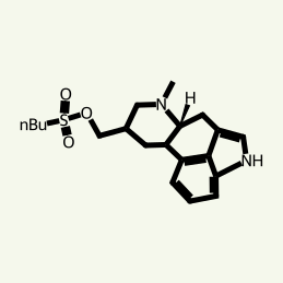 CCCCS(=O)(=O)OCC1CC2c3cccc4[nH]cc(c34)C[C@H]2N(C)C1